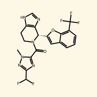 Cn1nc(C(F)F)nc1C(=O)N1CCc2[nH]cnc2[C@@H]1c1cc2cccc(C(F)(F)F)c2o1